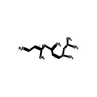 C=C/C=C(\C)NC(=C)/C=C\N(C)SN(C)C